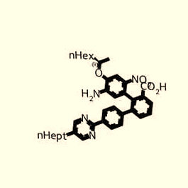 CCCCCCCc1cnc(-c2ccc(-c3cccc(C(=O)O)c3-c3cc(N)c(O[C@H](C)CCCCCC)cc3[N+](=O)[O-])cc2)nc1